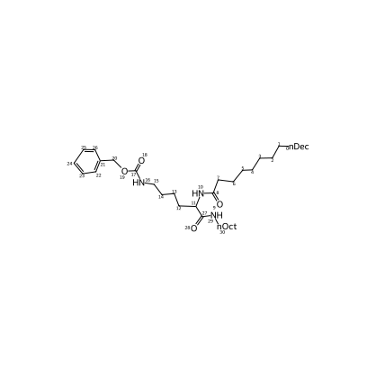 CCCCCCCCCCCCCCCCCC(=O)NC(CCCCNC(=O)OCc1ccccc1)C(=O)NCCCCCCCC